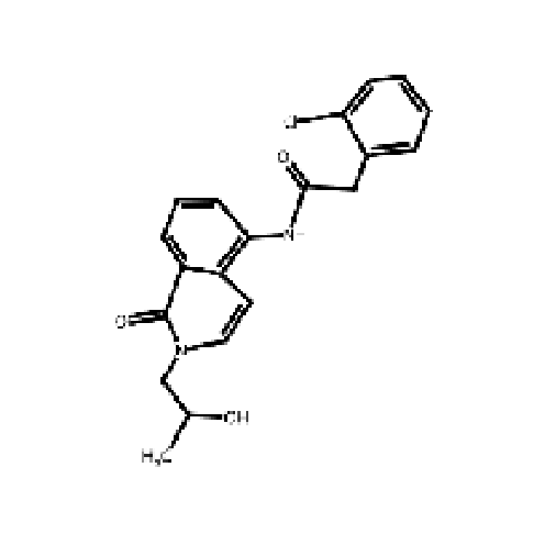 CC(O)Cn1ccc2c(NC(=O)Cc3ccccc3Cl)cccc2c1=O